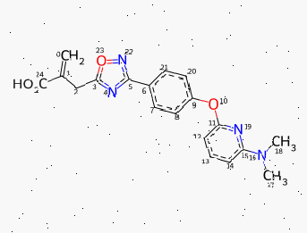 C=C(Cc1nc(-c2ccc(Oc3cccc(N(C)C)n3)cc2)no1)C(=O)O